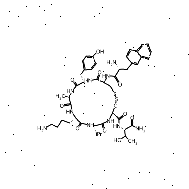 CC(C)[C@@H]1NC(=O)[C@H](CCCCN)NC(=O)[C@@H](C)NC(=O)[C@H](Cc2ccc(O)cc2)NC(=O)[C@@H](NC(=O)[C@H](N)Cc2ccc3ccccc3c2)CSSC[C@@H](C(=O)N[C@H](C(N)=O)C(C)O)NC1=O